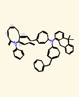 C=C/C=C1\C(=C/CC2=CC=CC(N(C3=CCC=C(CC4=CC=CC=CC4)C=C3)c3cccc4c3Cc3ccccc3C4(C)C)C=C2)C/C=C\C=C/C(=C)N1c1ccccc1